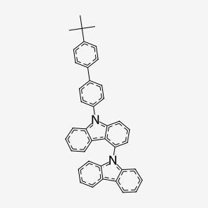 CC(C)(C)c1ccc(-c2ccc(-n3c4ccccc4c4c(-n5c6ccccc6c6ccccc65)cccc43)cc2)cc1